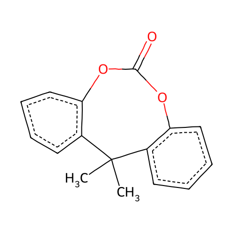 CC1(C)c2ccccc2OC(=O)Oc2ccccc21